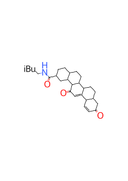 CCC(C)CNC(=O)C1CCC2CCC3C4CCC5CC(=O)C=CC5C4=CC(=O)C3C2C1